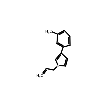 C=CCn1ccc(-c2[c]ccc(C)c2)c1